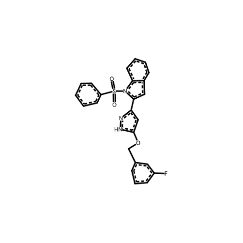 O=S(=O)(c1ccccc1)n1c(-c2cc(OCc3cccc(F)c3)[nH]n2)cc2ccccc21